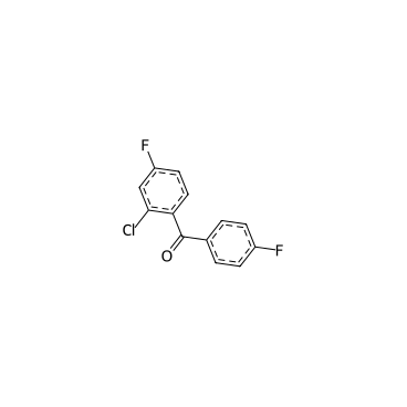 O=C(c1ccc(F)cc1)c1ccc(F)cc1Cl